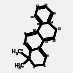 CC1(C)CCC=c2c1ccc1c2=CCc2ccccc2-1